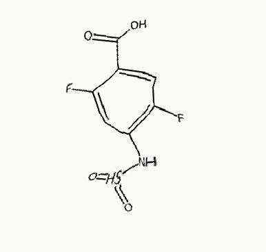 O=C(O)c1cc(F)c(N[SH](=O)=O)cc1F